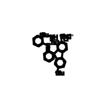 CC(C)(C)[NH][Ti+2]([c]1c(C(C)(C)C)ccc2c1Cc1cc(C(C)(C)C)ccc1-2)[SiH](c1ccccc1)c1ccccc1.[Cl-].[Cl-]